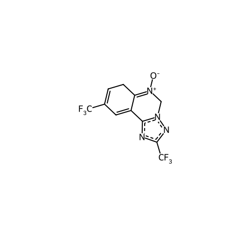 [O-][N+]1=C2CC=C(C(F)(F)F)C=C2c2nc(C(F)(F)F)nn2C1